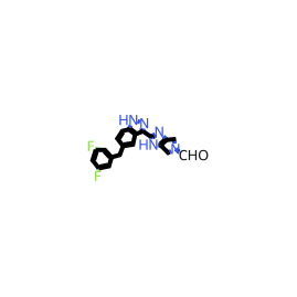 O=CN1Cc2nc(-c3n[nH]c4ccc(Cc5cc(F)cc(F)c5)cc34)[nH]c2C1